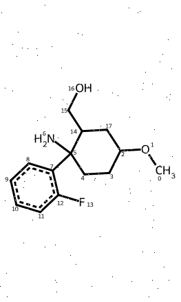 COC1CCC(N)(c2ccccc2F)C(CO)C1